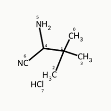 CC(C)(C)C(N)C#N.Cl